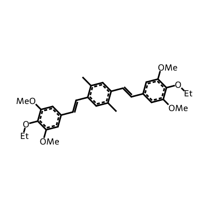 CCOc1c(OC)cc(C=Cc2cc(C)c(C=Cc3cc(OC)c(OCC)c(OC)c3)cc2C)cc1OC